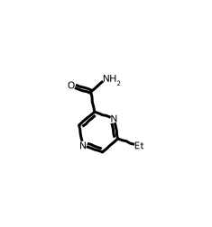 CCc1cncc(C(N)=O)n1